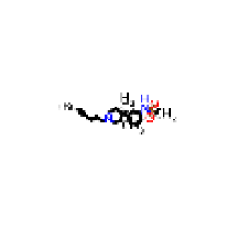 CC1CN(C/C=C/C#CC(C)(C)C)CCC1(C)c1cccc(NS(C)(=O)=O)c1